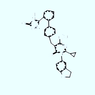 CCCCc1nc(C2CC2)n(-c2ccc3c(c2)CCO3)c(=O)c1Cc1ccc(-c2ccccc2-c2noc(=O)[nH]2)cc1